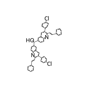 OC(c1ccc2nc(C=Cc3ccccc3)c(-c3ccc(Cl)cc3)cc2c1)c1ccc2nc(C=Cc3ccccc3)c(-c3ccc(Cl)cc3)cc2c1